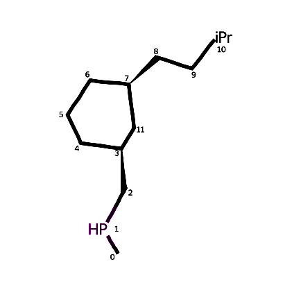 CPC[C@H]1CCC[C@@H](CCC(C)C)C1